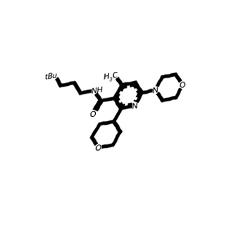 Cc1cc(N2CCOCC2)nc(C2CCOCC2)c1C(=O)NCCCC(C)(C)C